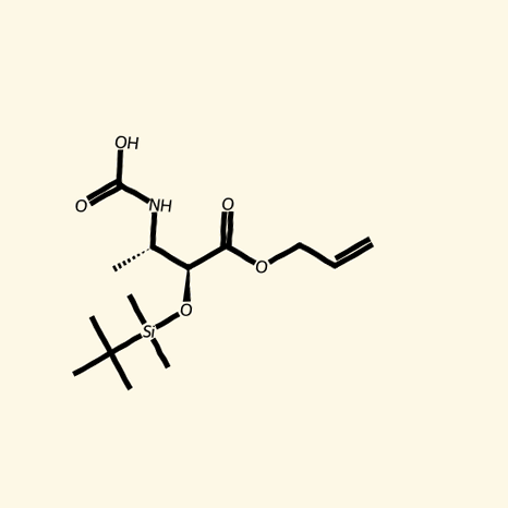 C=CCOC(=O)[C@@H](O[Si](C)(C)C(C)(C)C)[C@H](C)NC(=O)O